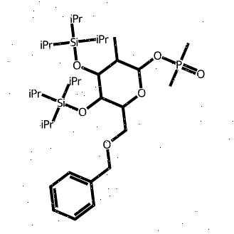 CC1C(OP(C)(C)=O)OC(COCc2ccccc2)C(O[Si](C(C)C)(C(C)C)C(C)C)C1O[Si](C(C)C)(C(C)C)C(C)C